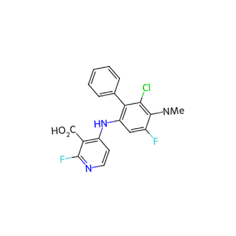 CNc1c(F)cc(Nc2ccnc(F)c2C(=O)O)c(-c2ccccc2)c1Cl